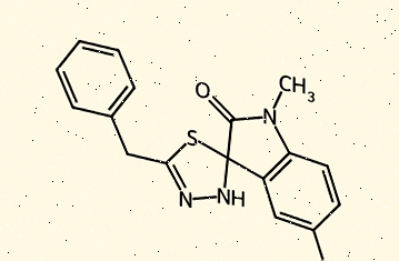 CN1C(=O)C2(NN=C(Cc3ccccc3)S2)c2cc(Br)ccc21